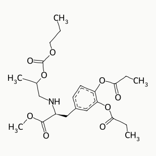 CCCOC(=O)OC(C)CN[C@@H](Cc1ccc(OC(=O)CC)c(OC(=O)CC)c1)C(=O)OC